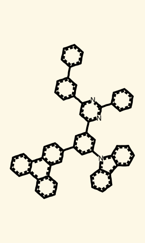 c1ccc(-c2cccc(-c3cc(-c4cc(-c5ccc6c7ccccc7c7ccccc7c6c5)cc(-n5c6ccccc6c6ccccc65)c4)nc(-c4ccccc4)n3)c2)cc1